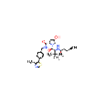 C#CCCC(=O)N[C@H](C(=O)N1C[C@H](O)C[C@H]1C(=O)NCc1ccc(-c2scnc2C)cc1)C(C)(C)C